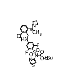 C[C@@H](c1cccc(Cl)c1CNc1cc(F)c(S(=O)(=O)N(C(=O)OC(C)(C)C)c2cscn2)c(F)c1)N1CCC1